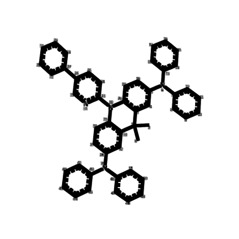 CC1(C)c2cc(N(c3ccccc3)c3ccccc3)ccc2N(c2ccc(-c3ccccc3)cn2)c2ccc(N(c3ccccc3)c3ccccc3)cc21